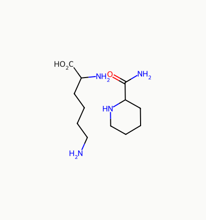 NC(=O)C1CCCCN1.NCCCCC(N)C(=O)O